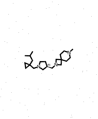 CC(C)CC1(CN2CC[C@@H](CN3CC4(CCN(C)CC4)C3)C2)CC1